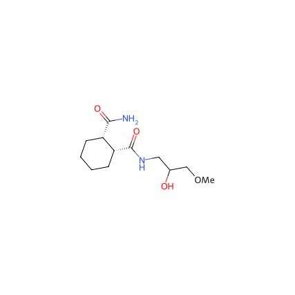 COCC(O)CNC(=O)[C@@H]1CCCC[C@@H]1C(N)=O